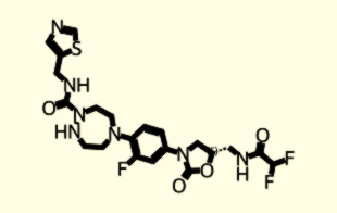 O=C(NC[C@H]1CN(c2ccc(N3CCNN(C(=O)NCc4cncs4)CC3)c(F)c2)C(=O)O1)C(F)F